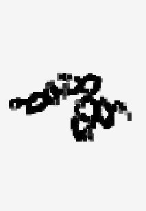 Cc1ccc(-n2nccn2)c(C(=O)N2CCCC(C)C2CNc2nc3cc(Cl)ccc3o2)n1